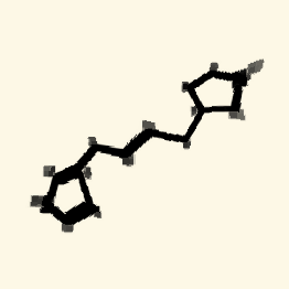 c1cc(CCCCC2CC[N]C2)cs1